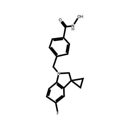 O=C(NO)c1ccc(CN2CC3(CC3)c3cc(F)ccc32)cc1